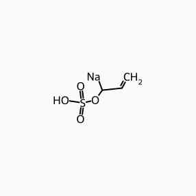 C=C[CH]([Na])OS(=O)(=O)O